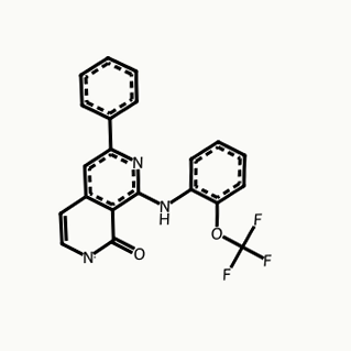 O=C1[N]C=Cc2cc(-c3ccccc3)nc(Nc3ccccc3OC(F)(F)F)c21